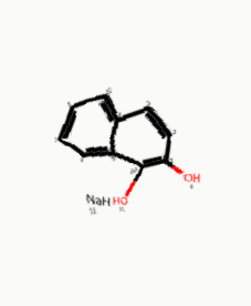 Oc1ccc2ccccc2c1O.[NaH]